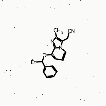 CCC(Oc1cccn2c(CC#N)c(C)nc12)c1ccccc1